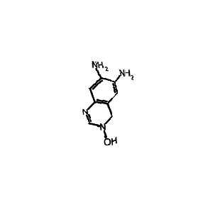 Nc1cc2c(cc1N)N=CN(O)C2